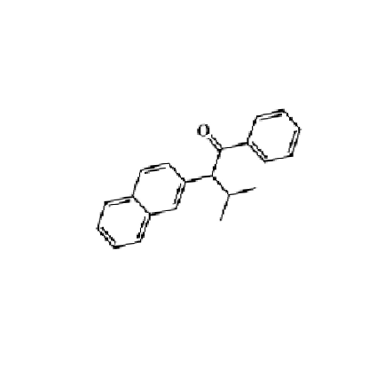 CC(C)C(C(=O)c1ccccc1)c1ccc2ccccc2c1